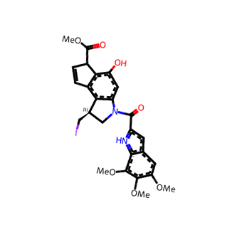 COC(=O)C1C=Cc2c1c(O)cc1c2[C@H](CI)CN1C(=O)c1cc2cc(OC)c(OC)c(OC)c2[nH]1